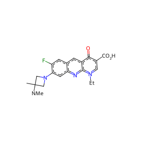 CCn1cc(C(=O)O)c(=O)c2cc3cc(F)c(N4CC(C)(NC)C4)cc3nc21